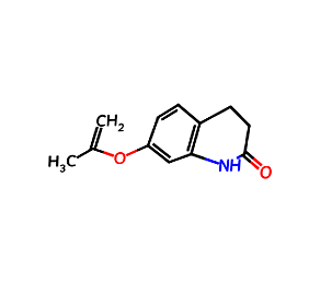 C=C(C)Oc1ccc2c(c1)NC(=O)CC2